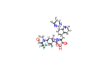 Cc1cnc(-c2ccc(C[C@H](NC(=O)c3c(C)cc(N4CCOC[C@@H]4C(F)(F)F)cc3F)C(=O)O)c3cccnc23)nc1C